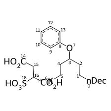 CCCCCCCCCCCCC(C[CH2][K])Oc1ccccc1.O=C(O)CC(C(=O)O)S(=O)(=O)O